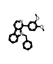 COc1ccc(-c2nccc3c4ccccc4n(Cc4ccccc4)c23)cc1OC